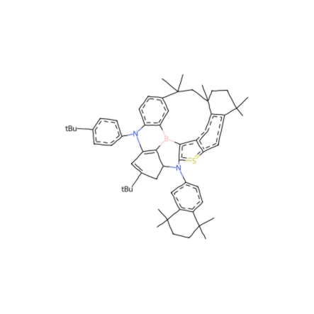 CC(C)(C)C1=CC2=C3B4c5cc(ccc5N2c2ccc(C(C)(C)C)cc2)C(C)(C)CC2(C)CCC(C)(C)c5cc6sc(c4c6cc52)N(c2ccc4c(c2)C(C)(C)CCC4(C)C)C3C1